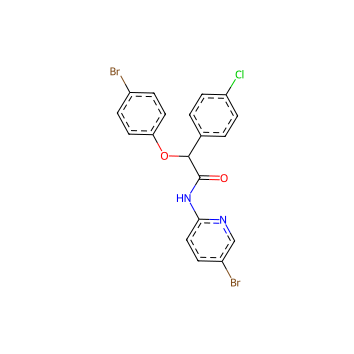 O=C(Nc1ccc(Br)cn1)C(Oc1ccc(Br)cc1)c1ccc(Cl)cc1